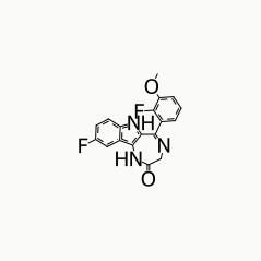 COc1cccc(C2=NCC(=O)Nc3c2[nH]c2ccc(F)cc32)c1F